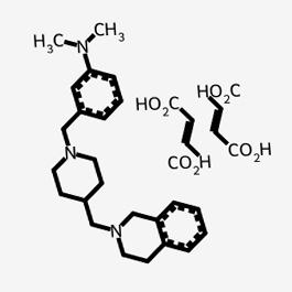 CN(C)c1cccc(CN2CCC(CN3CCc4ccccc4C3)CC2)c1.O=C(O)/C=C/C(=O)O.O=C(O)/C=C/C(=O)O